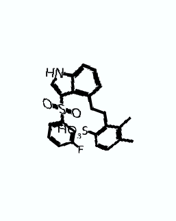 Cc1ccc(S(=O)(=O)O)c(CCc2cccc3[nH]cc(S(=O)(=O)c4cccc(F)c4)c23)c1C